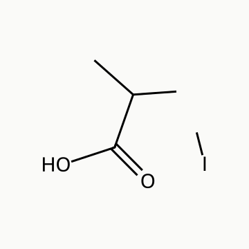 CC(C)C(=O)O.CI